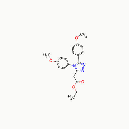 CCOC(=O)Cc1nnc(-c2ccc(OC)cc2)n1-c1ccc(OC)cc1